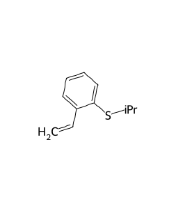 C=Cc1ccccc1SC(C)C